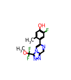 COC(F)(F)c1nnc2cnc(-c3cc(F)c(O)cc3C)cn12